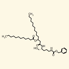 CCCCCCCCCCCC(=O)OC(CCCCCCCCCCC)CC(=O)N[C@@H](CO)CCCNC(=O)OCc1ccccc1